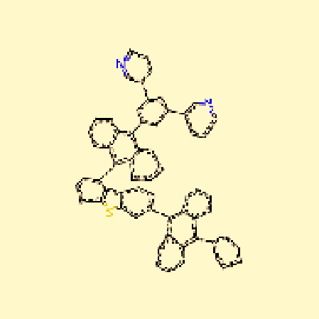 c1ccc(-c2c3ccccc3c(-c3ccc4c(c3)sc3cccc(-c5c6ccccc6c(-c6cc(-c7cccnc7)cc(-c7cccnc7)c6)c6ccccc56)c34)c3ccccc23)cc1